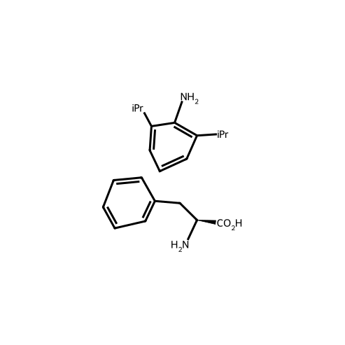 CC(C)c1cccc(C(C)C)c1N.N[C@@H](Cc1ccccc1)C(=O)O